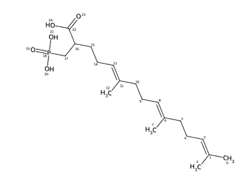 CC(C)=CCC/C(C)=C/CC/C(C)=C/CCC(CP(=O)(O)O)C(=O)O